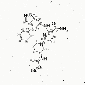 CC(C)(C)OC(=O)N[C@H]1CCCN(c2ncc(C(N)=O)c(Nc3cc(-c4ccccc4)c4cn[nH]c4c3)n2)C1